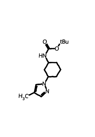 Cc1cnn(C2CCCC(NC(=O)OC(C)(C)C)C2)c1